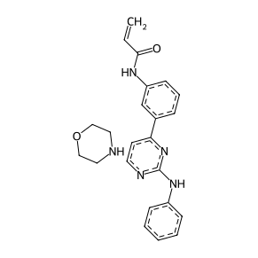 C1COCCN1.C=CC(=O)Nc1cccc(-c2ccnc(Nc3ccccc3)n2)c1